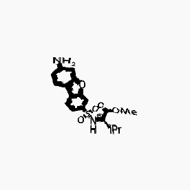 COC(=O)[C@H](NS(=O)(=O)c1ccc2c(c1)oc1cc(N)ccc12)C(C)C